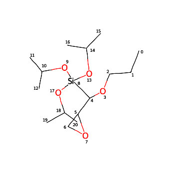 CCCOC(C1CO1)[Si](OC(C)C)(OC(C)C)OC(C)C